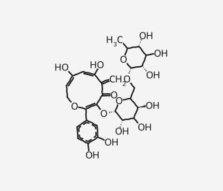 C=C1C(=O)/C(O[C@@H]2OC(CO[C@@H]3OC(C)[C@H](O)C(O)[C@@H]3O)[C@@H](O)C(O)[C@@H]2O)=C(/c2ccc(O)c(O)c2)OC/C=C(O)\C=C/1O